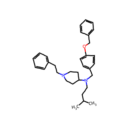 CC(C)CCN(Cc1ccc(OCc2ccccc2)cc1)C1CCN(CCc2ccccc2)CC1